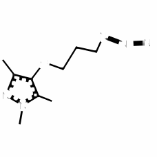 Cc1nn(C)c(C)c1OCCCN=[N+]=[N-]